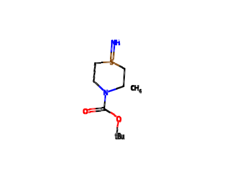 C.CC(C)(C)OC(=O)N1CCS(=N)CC1